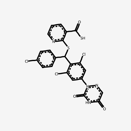 O=C(S)c1cccnc1SC(c1ccc(Cl)cc1)c1c(Cl)cc(-n2ncc(=O)[nH]c2=O)cc1Cl